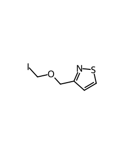 ICOCc1ccsn1